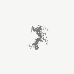 Cc1cc(-n2ncc(C(=O)c3cc4cc(OCC(F)F)c(NS(C)(=O)=O)cc4[nH]3)c2N)ccc1Oc1ccccc1F